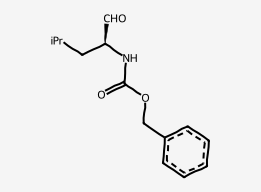 CC(C)C[C@@H](C=O)NC(=O)OCc1ccccc1